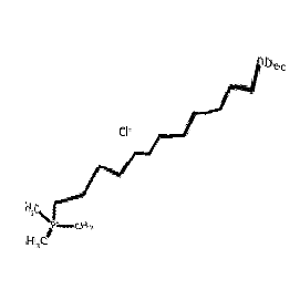 CCCCCCCCCCCCCCCCCCCCCC[P+](C)(C)C.[Cl-]